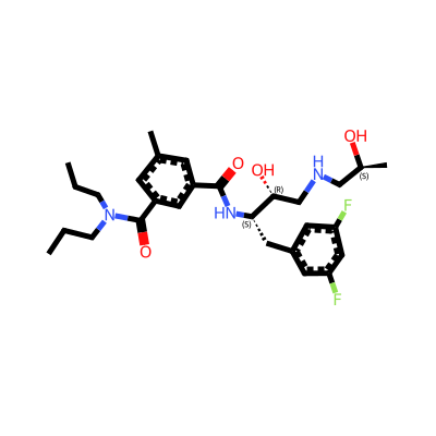 CCCN(CCC)C(=O)c1cc(C)cc(C(=O)N[C@@H](Cc2cc(F)cc(F)c2)[C@H](O)CNC[C@H](C)O)c1